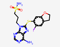 Nc1ncnc2c1nc(Sc1cc3c(cc1I)CCO3)n2CCCS(N)(=O)=O